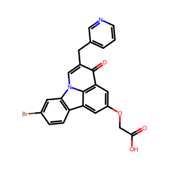 O=C(O)COc1cc2c(=O)c(Cc3cccnc3)cn3c4cc(Br)ccc4c(c1)c23